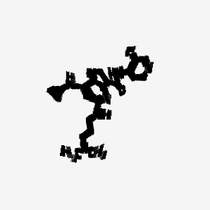 CN(C)CCCNc1cc(NC2CC2)c2ncc(C(=O)Nc3ccncc3F)n2n1